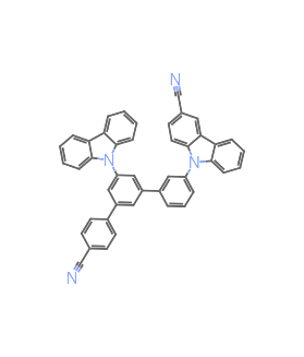 N#Cc1ccc(-c2cc(-c3cccc(-n4c5ccccc5c5cc(C#N)ccc54)c3)cc(-n3c4ccccc4c4ccccc43)c2)cc1